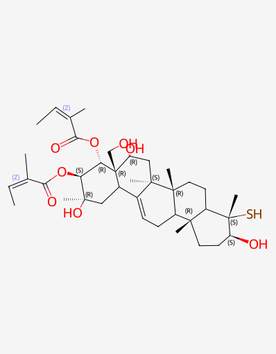 C/C=C(/C)C(=O)O[C@H]1[C@H](OC(=O)/C(C)=C\C)[C@](C)(O)CC2C3=CCC4[C@@]5(C)CC[C@H](O)[C@@](C)(S)C5CC[C@@]4(C)[C@]3(C)C[C@@H](O)[C@]21CO